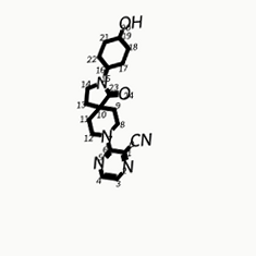 N#Cc1nccnc1N1CCC2(CC1)CCN(C1CCC(O)CC1)C2=O